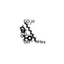 CCCCCCC=CCCCCCCCCCC(=O)O.CN1C2CCC1CC(OC(=O)C(CO)c1ccccc1)C2